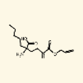 C=CCOC(=O)NCCC(N)(CCCCC)C(=O)O